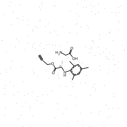 C#CCOC(=O)[C@H](C)Nc1c(C)cc(C)cc1C.NCC(=O)O